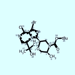 C[C@H]1CO[C@@H](c2nc(Br)c3c(Cl)ncc(C(C)(C)O)n23)CN1C(=O)OC(C)(C)C